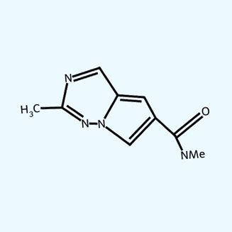 CNC(=O)c1cc2cnc(C)nn2c1